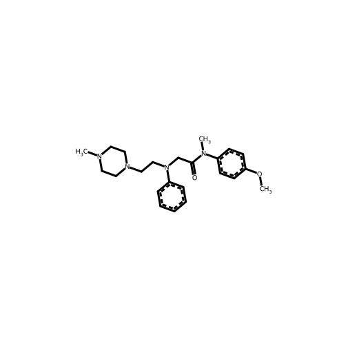 COc1ccc(N(C)C(=O)CN(CCN2CCN(C)CC2)c2ccccc2)cc1